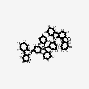 c1ccc([Si](c2ccccc2)(c2ccc(-n3c4ccccc4c4cccnc43)cc2)c2cccc(-n3c4ccccc4c4ccc5oc6ccccc6c5c43)c2)cc1